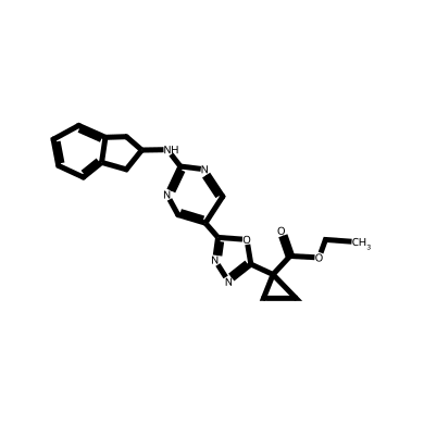 CCOC(=O)C1(c2nnc(-c3cnc(NC4Cc5ccccc5C4)nc3)o2)CC1